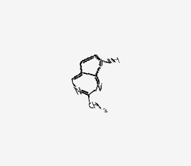 Cc1ncc2cc[nH]c2n1